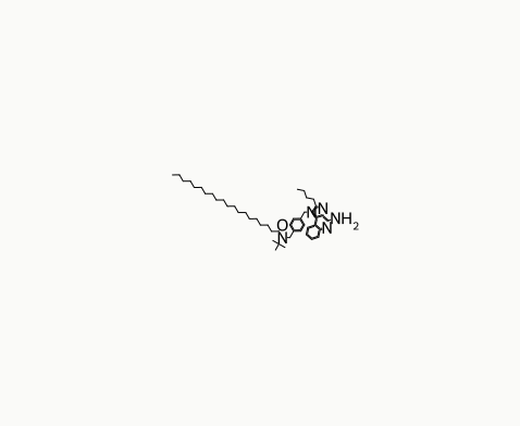 CCCCCCCCCCCCCCCCCCCC(=O)N(Cc1ccc(Cn2c(CCCC)nc3c(N)nc4ccccc4c32)cc1)C(C)(C)C